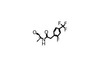 C[C@@H]([C]=O)NC(=O)Cc1ccc(C(F)(F)F)cc1F